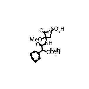 COC1(NC(=O)C(C(=O)O)c2ccccc2)CN(S(=O)(=O)O)C1=O.[NaH]